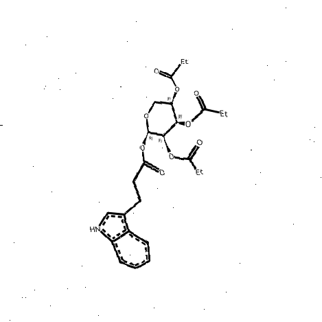 CCC(=O)O[C@H]1[C@@H](OC(=O)CCc2c[nH]c3ccccc23)OC[C@@H](OC(=O)CC)[C@H]1OC(=O)CC